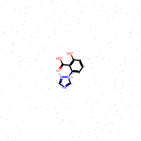 O=C(O)c1c(O)cccc1-n1cncn1